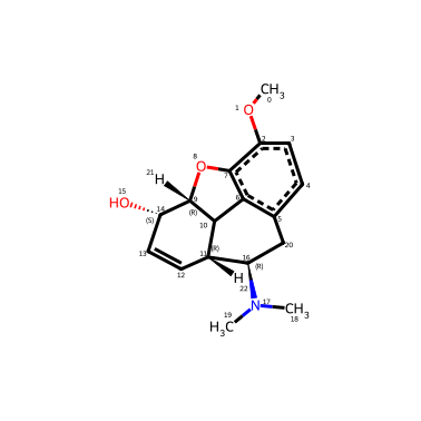 COc1ccc2c3c1O[C@@H]1C3[C@@H](C=C[C@@H]1O)[C@H](N(C)C)C2